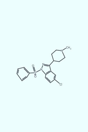 CN1CCC(c2nn(S(=O)(=O)c3ccccc3)c3ccc(Cl)cc23)CC1